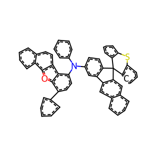 c1ccc(-c2ccc(N(c3ccccc3)c3ccc4c(c3)-c3cc5ccccc5cc3C43c4ccccc4Sc4ccccc43)c3c2oc2c4ccccc4ccc23)cc1